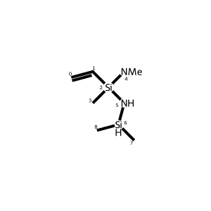 C=C[Si](C)(NC)N[SiH](C)C